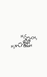 Cc1cc(C)nc(NS(=O)(=O)c2ccc(N)cc2)n1.[NaH]